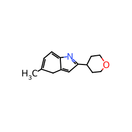 CC1=CC=C2N=C(C3CCOCC3)C=C2C1